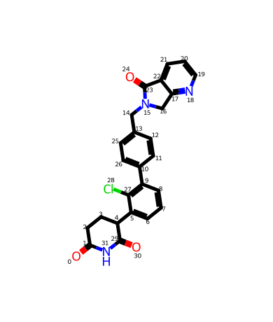 O=C1CCC(c2cccc(-c3ccc(CN4Cc5ncccc5C4=O)cc3)c2Cl)C(=O)N1